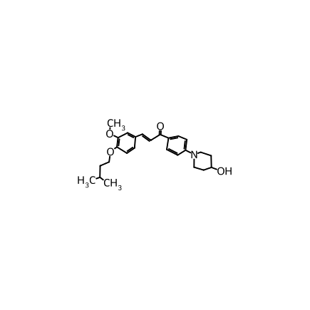 COc1cc(/C=C/C(=O)c2ccc(N3CCC(O)CC3)cc2)ccc1OCCC(C)C